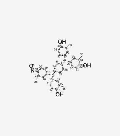 Cc1cc(C(c2ccc(C(c3ccc(O)c(C)c3)c3ccc(N=O)c(C)c3)cc2)c2ccc(O)c(C)c2)ccc1O